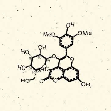 COc1cc(C2=C(O[C@H]3O[C@H](CO)[C@@H](O)[C@H](O)[C@H]3O)c3c(C=O)c(=O)oc4cc(O)cc(c34)O2)cc(OC)c1O